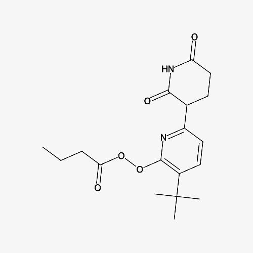 CCCC(=O)OOc1nc(C2CCC(=O)NC2=O)ccc1C(C)(C)C